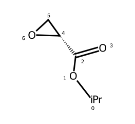 CC(C)OC(=O)[C@H]1CO1